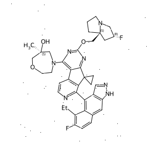 CCc1c(F)ccc2cc3[nH]ncc3c(-c3nccc4c3C3(CC3)c3nc(OC[C@@]56CCCN5C[C@H](F)C6)nc(N5CCOC[C@@](C)(O)C5)c3-4)c12